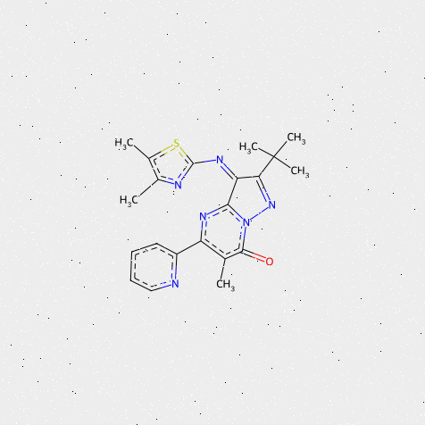 Cc1nc(/N=C2/C(C(C)(C)C)=Nn3c2nc(-c2ccccn2)c(C)c3=O)sc1C